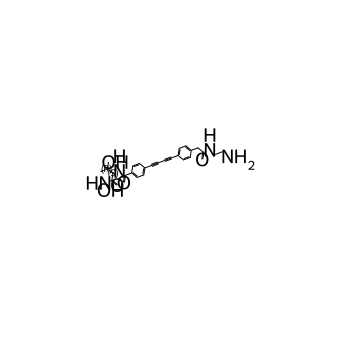 C[C@@H](O)[C@H](NC(=O)c1ccc(C#CC#Cc2ccc(CC(=O)NCCN)cc2)cc1)C(=O)NO